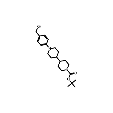 CC(C)(C)OC(=O)N1CCC(C2CCN(c3ccc(CS)cc3)CC2)CC1